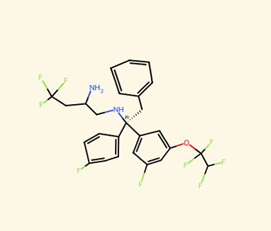 NC(CN[C@](Cc1ccccc1)(c1ccc(F)cc1)c1cc(F)cc(OC(F)(F)C(F)F)c1)CC(F)(F)F